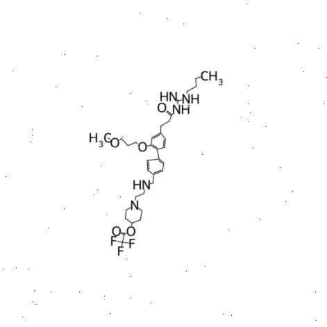 CCCCNC(=N)NC(=O)CCc1ccc(-c2ccc(CNCCN3CCC(OC(=O)C(F)(F)F)CC3)cc2)c(OCCCOC)c1